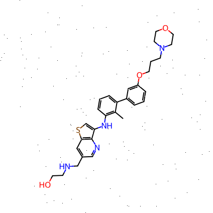 Cc1c(Nc2csc3cc(CNCCO)cnc23)cccc1-c1cccc(OCCCN2CCOCC2)c1